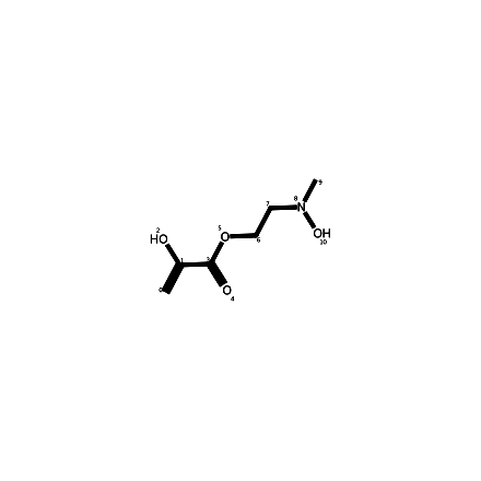 C=C(O)C(=O)OCCN(C)O